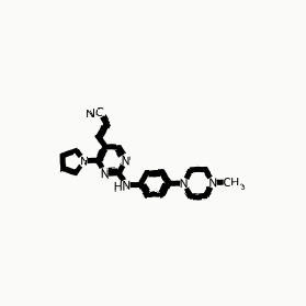 CN1CCN(c2ccc(Nc3ncc(C=CC#N)c(N4CCCC4)n3)cc2)CC1